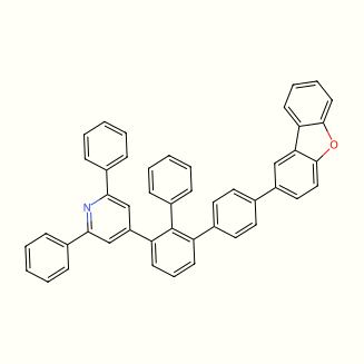 c1ccc(-c2cc(-c3cccc(-c4ccc(-c5ccc6oc7ccccc7c6c5)cc4)c3-c3ccccc3)cc(-c3ccccc3)n2)cc1